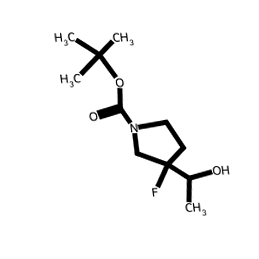 CC(O)C1(F)CCN(C(=O)OC(C)(C)C)C1